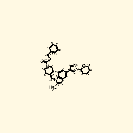 Cc1cc2cc(-c3cnn(C4CCCCO4)c3)ccc2n1CC1CCN(C(=O)OCc2ccccc2)CC1